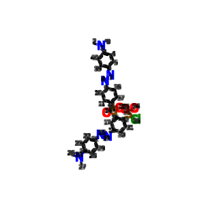 CN(C)c1ccc(N=Nc2ccc(S(=O)(=O)c3cc(N=Nc4ccc(N(C)C)cc4)ccc3S(=O)(=O)Cl)cc2)cc1